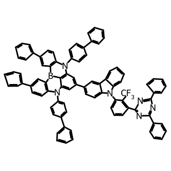 FC(F)(F)c1c(-c2nc(-c3ccccc3)nc(-c3ccccc3)n2)cccc1-n1c2ccccc2c2cc(-c3cc4c5c(c3)N(c3ccc(-c6ccccc6)cc3)c3ccc(-c6ccccc6)cc3B5c3cc(-c5ccccc5)ccc3N4c3ccc(-c4ccccc4)cc3)ccc21